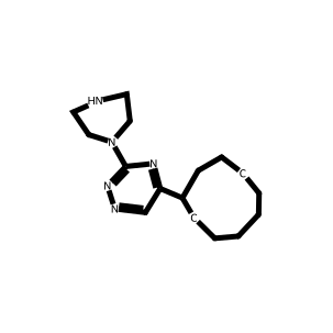 c1nnc(N2CCNCC2)nc1C1CCCCCCCC1